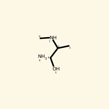 CNC(C)CO.N